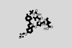 C=CC1CC1(NC(=O)C1CC(Oc2nc(-c3ccc(C)cc3)cc3cc(OCP(C)(C)=O)ccc23)CN1C(=O)C(NC(=O)OC(C)(C)C)C(C)C)C(=O)O